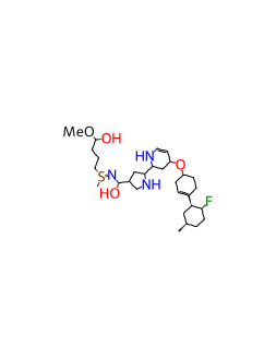 COC(O)CCC/S(C)=N/[C@H](O)C1CNC(C2C[C@H](O[C@@H]3CC=C([C@@H]4C[C@H](C)CC[C@@H]4F)CC3)C=CN2)C1